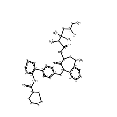 CC1CC(NC(=O)C(N)C(C)(C)C[C@H](O)CO)C(=O)N(Cc2ccc(-c3ccccc3NC(=O)N3CCOCC3)cc2)c2ccccc21